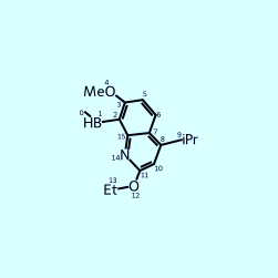 CBc1c(OC)ccc2c(C(C)C)cc(OCC)nc12